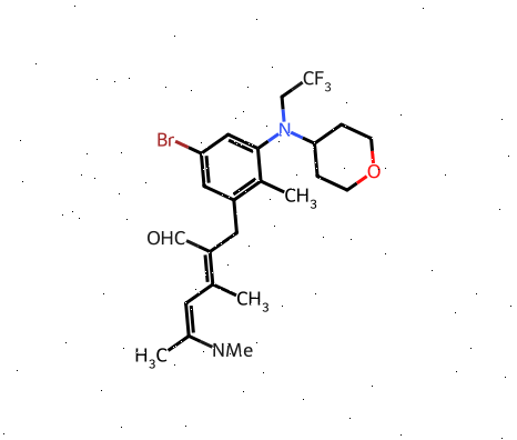 CN/C(C)=C\C(C)=C(/C=O)Cc1cc(Br)cc(N(CC(F)(F)F)C2CCOCC2)c1C